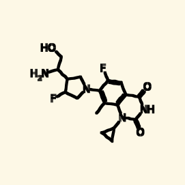 Cc1c(N2CC(F)C(C(N)CO)C2)c(F)cc2c(=O)[nH]c(=O)n(C3CC3)c12